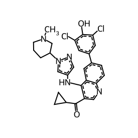 CN1CCCC(n2cc(Nc3c(C(=O)C4CC4)cnc4ccc(-c5cc(Cl)c(O)c(Cl)c5)cc34)cn2)C1